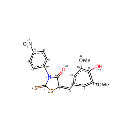 COc1cc(C=C2SC(=S)N(c3ccc([N+](=O)[O-])cc3)C2=O)cc(OC)c1O